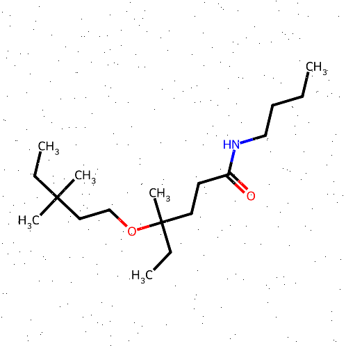 CCCCNC(=O)CCC(C)(CC)OCCC(C)(C)CC